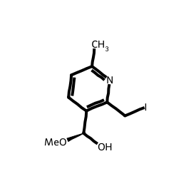 CO[C@H](O)c1ccc(C)nc1CI